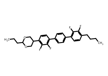 CCCCc1ccc(-c2ccc(-c3ccc(C4COC(CCC)OC4)c(F)c3F)cc2)c(F)c1F